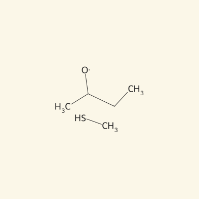 CCC(C)[O].CS